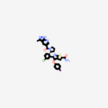 Cc1n[nH]c2ncc(C(=O)N3CCC[C@H]3c3ccc(Cl)cc3C3N=C4SC(C(N)=O)CC4=C3Oc3ccc(I)cc3)cc12